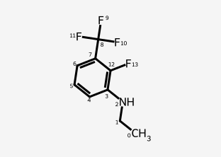 CCNc1cccc(C(F)(F)F)c1F